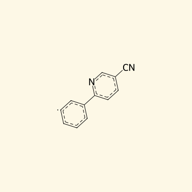 N#Cc1ccc(-c2c[c]ccc2)nc1